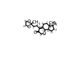 CC1(CCC2=C3CCC4(C)C(=O)CCC4C3OCC2=O)OCCO1